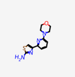 Nc1nc(-c2cccc(N3CCOCC3)n2)cs1